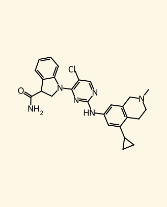 CN1CCc2c(cc(Nc3ncc(Cl)c(N4CC(C(N)=O)c5ccccc54)n3)cc2C2CC2)C1